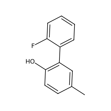 Cc1ccc(O)c(-c2ccccc2F)c1